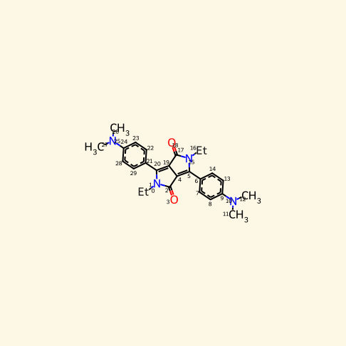 CCN1C(=O)C2=C(c3ccc(N(C)C)cc3)N(CC)C(=O)C2=C1c1ccc(N(C)C)cc1